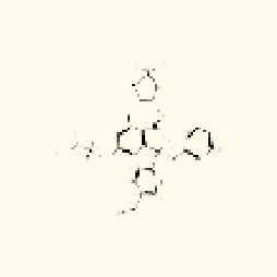 O=C(N[C@H]1CCC(F)(F)C1)N[C@@](Cc1ccccc1)(c1cc(F)cc(OC(F)(F)C(F)F)c1)c1ccc(CI)cn1